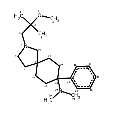 COC(C)(C)CN1CCC2(CCC(c3ccccc3)(N(C)C)CC2)C1